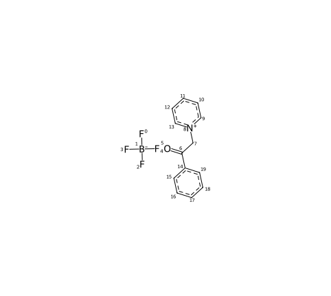 F[B-](F)(F)F.O=C(C[n+]1ccccc1)c1ccccc1